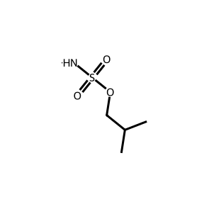 CC(C)COS([NH])(=O)=O